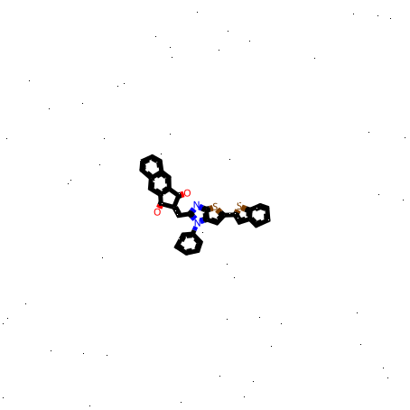 O=C1C(=Cc2nc3sc(-c4cc5ccccc5s4)cc3n2-c2ccccc2)C(=O)c2cc3ccccc3cc21